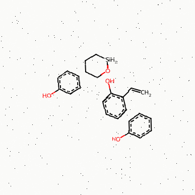 C1CC[SiH2]OC1.C=Cc1ccccc1O.Oc1ccccc1.Oc1ccccc1